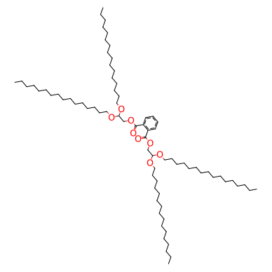 CCCCCCCCCCCCCCCCOC(COC(=O)c1ccccc1C(=O)OCC(OCCCCCCCCCCCCCCCC)OCCCCCCCCCCCCCCCC)OCCCCCCCCCCCCCCCC